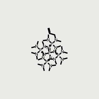 C=CCN(C)P(=N[PH](N=P(N(C)C)(N(C)C)N(C)C)(N=P(N(C)C)(N(C)C)N(C)C)N=P(N(C)C)(N(C)C)N(C)C)(N(C)C)N(C)C